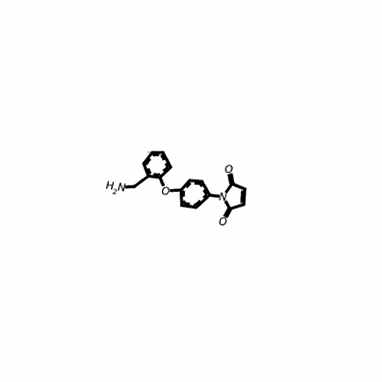 NCc1c[c]ccc1Oc1ccc(N2C(=O)C=CC2=O)cc1